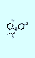 CC(C(=O)[O-])c1cccnc1Nc1ccc(Cl)cc1.[Na+]